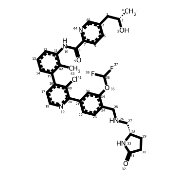 [CH2][C@H](O)Cc1ccc(C(=O)Nc2cccc(-c3ccnc(-c4ccc(CNC[C@@H]5CCC(=O)N5)c(OC(F)F)c4)c3Cl)c2C)nc1